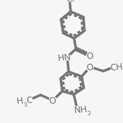 CCOc1cc(NC(=O)c2ccc(Cl)cc2)c(OCC)cc1N